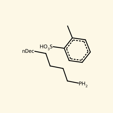 CCCCCCCCCCCCCCP.Cc1ccccc1S(=O)(=O)O